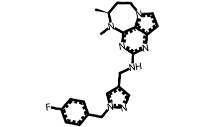 C[C@H]1CCn2ccc3nc(NCc4cnn(Cc5ccc(F)cc5)c4)nc(c32)N1C